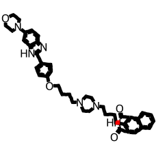 O=C1NC(=O)c2c(CCCCN3CCN(CCCCOc4ccc(-c5nc6ccc(N7CCOCC7)cc6[nH]5)cc4)CC3)c1cc1ccccc21